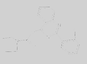 CCN(CC)C(=O)Oc1nc(-c2ccccc2Cl)nc2ccccc12